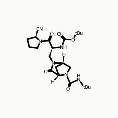 CC(C)(C)NC(=O)N1C[C@@H]2C[C@H]1C(=O)N2C[C@H](NC(=O)OC(C)(C)C)C(=O)N1CCC[C@H]1C#N